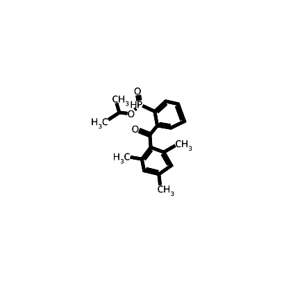 Cc1cc(C)c(C(=O)c2ccccc2[PH](=O)OC(C)C)c(C)c1